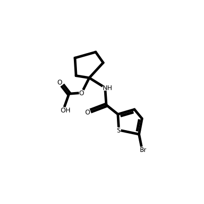 O=C(O)OC1(NC(=O)c2ccc(Br)s2)CCCC1